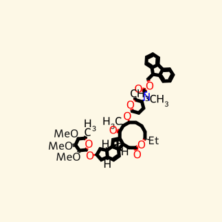 CC[C@H]1CCC[C@H](O[C@H]2CC[C@H](N(C)C(=O)OCC3c4ccccc4-c4ccccc43)C(C)O2)[C@@H](C)C(=O)C2=C[C@@H]3[C@@H](C=C[C@@H]4C[C@@H](O[C@@H]5OC(C)[C@H](OC)C(OC)C5OC)C[C@@H]34)[C@@H]2CC(=O)O1